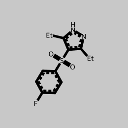 CCc1n[nH]c(CC)c1S(=O)(=O)c1ccc(F)cc1